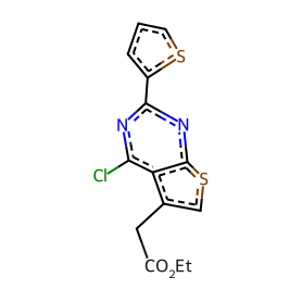 CCOC(=O)Cc1csc2nc(-c3cccs3)nc(Cl)c12